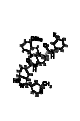 COc1cccc(F)c1CN1C[C@H](NC(=O)c2ccc3[nH]nc(-c4ccnc(C)c4)c3c2)CC[C@H]1C(=O)Nc1cccc(F)c1